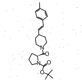 Cc1ccc(/C=C/C2CCN(C(=O)[C@@H]3CCCN3C(=O)OC(C)(C)C)CC2)cc1